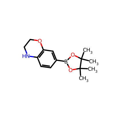 CC1(C)OB(c2ccc3c(c2)OCCN3)OC1(C)C